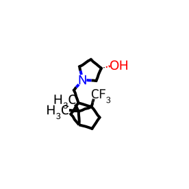 CC1(C)C2CCC1(C(F)(F)F)C(CN1CC[C@H](O)C1)C2